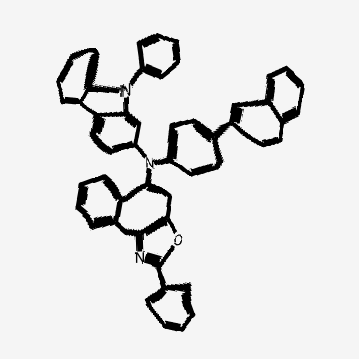 c1ccc(-c2nc3c(cc(N(c4ccc(-c5ccc6ccccc6c5)cc4)c4ccc5c6ccccc6n(-c6ccccc6)c5c4)c4ccccc43)o2)cc1